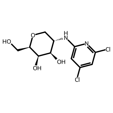 OC[C@H]1OC[C@H](Nc2cc(Cl)cc(Cl)n2)[C@@H](O)[C@H]1O